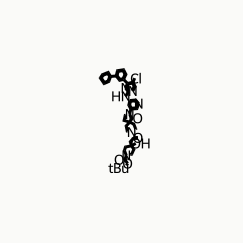 CC(C)(C)OC(=O)N1CCC(O)(CC(=O)N2CCC3(CC2)CCN(c2cncc(Nc4ncc(Cl)c(-c5cccc(-c6ccccc6)c5)n4)c2)C3=O)CC1